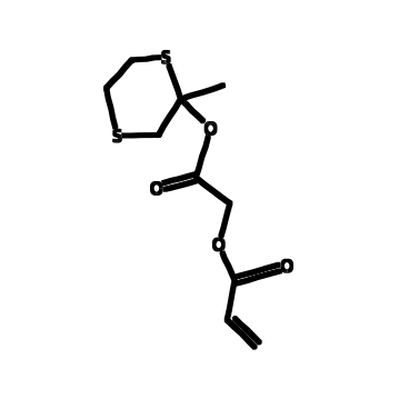 C=CC(=O)OCC(=O)OC1(C)CSCCS1